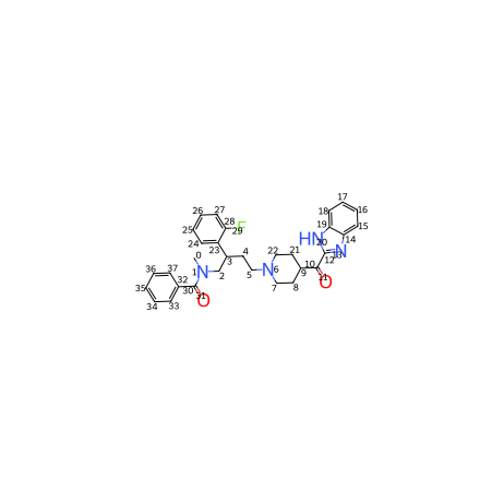 CN(CC(CCN1CCC(C(=O)c2nc3ccccc3[nH]2)CC1)c1ccccc1F)C(=O)c1ccccc1